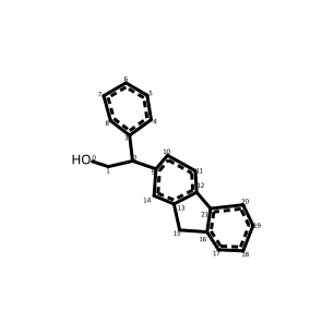 OCC(c1ccccc1)c1ccc2c(c1)Cc1ccccc1-2